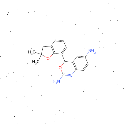 CC1(C)Cc2cccc(C3OC(N)=Nc4ccc(N)cc43)c2O1